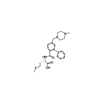 CSCC[C@H](NC(=O)c1ccc(CN2CCN(C)CC2)cc1-c1ccccc1)C(=O)O